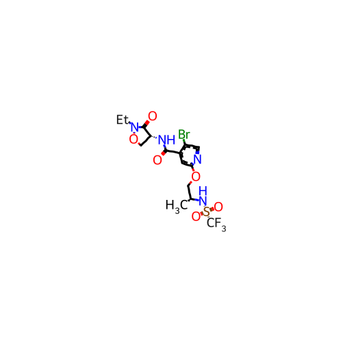 CCN1OC[C@@H](NC(=O)c2cc(OC[C@H](C)NS(=O)(=O)C(F)(F)F)ncc2Br)C1=O